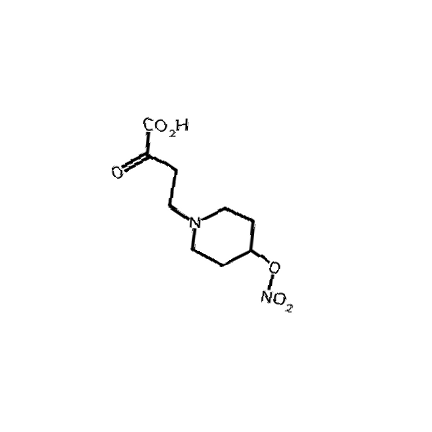 O=C(O)C(=O)CCN1CCC(O[N+](=O)[O-])CC1